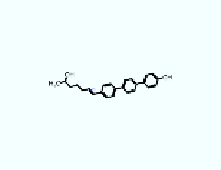 CC(O)CCC/C=C/c1ccc(-c2ccc(-c3ccc(O)cc3)cc2)cc1